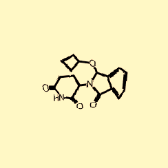 O=C1CCC(N2C(=O)c3ccccc3C2OC2CCC2)C(=O)N1